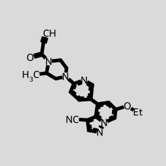 C#CC(=O)N1CCN(c2ccc(-c3cc(OCC)cn4ncc(C#N)c34)cn2)CC1C